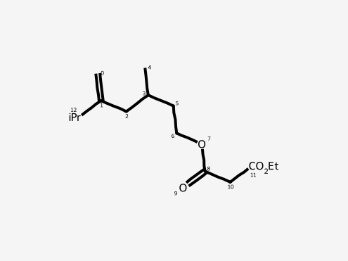 C=C(CC(C)CCOC(=O)CC(=O)OCC)C(C)C